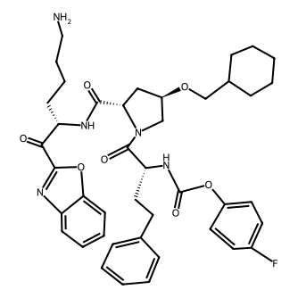 NCCCC[C@H](NC(=O)[C@@H]1C[C@@H](OCC2CCCCC2)CN1C(=O)[C@@H](CCc1ccccc1)NC(=O)Oc1ccc(F)cc1)C(=O)c1nc2ccccc2o1